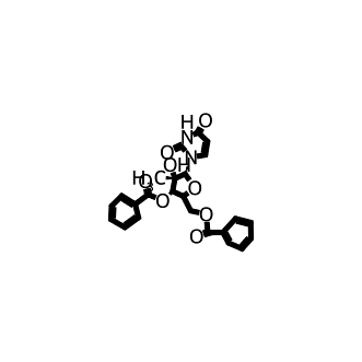 C[C@]1(O)[C@H](OC(=O)c2ccccc2)C(COC(=O)c2ccccc2)O[C@H]1n1ccc(=O)[nH]c1=O